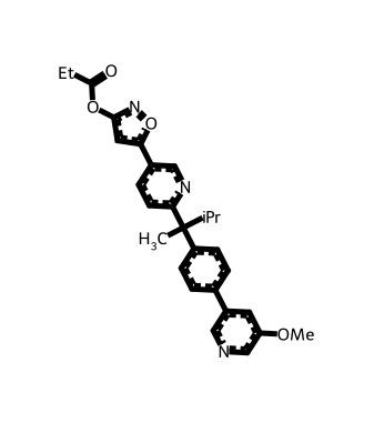 CCC(=O)Oc1cc(-c2ccc(C(C)(c3ccc(-c4cncc(OC)c4)cc3)C(C)C)nc2)on1